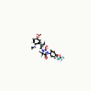 C=Nc1ccc(OC)cc1/C(=C\C)CN1C(=O)N(c2ccc(OC(F)(F)F)cc2)C(=O)C1(C)C